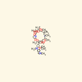 CCC1/C=C(\C)CC(C)CC(OC)C2OC(O)(C(=O)C(=O)N3CCCCC3C(=O)OC(C(C)=CC3CCC(N(C)c4ccc5c(ccn5C)c4)C(OC(C)C)C3)C(C)C(O)CC1=O)C(C)CC2OC